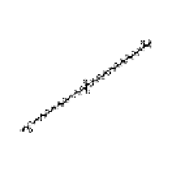 C=CC(=O)OCCOCCOCCOCCOCCOCCOC(=O)C(=O)OCCOCCOCCOCCOCCOCCOC(=O)C=C